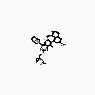 C#Cc1c(F)ccc2cc(O)cc(-c3cnc4c(N5CC6CCC(C5)N6)nc(OCC5(CN(C)C)CC5)nc4c3C)c12